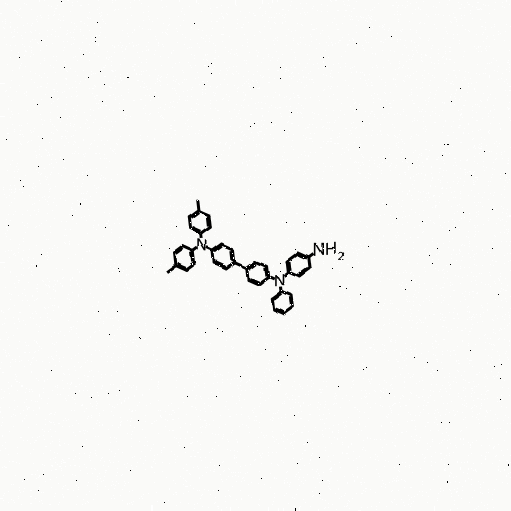 Cc1ccc(N(c2ccc(C)cc2)c2ccc(-c3ccc(N(c4ccccc4)c4ccc(N)cc4)cc3)cc2)cc1